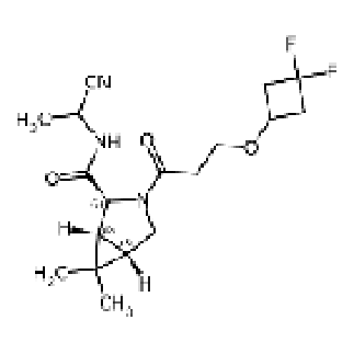 CC(C#N)NC(=O)[C@@H]1[C@@H]2[C@H](CN1C(=O)CCOC1CC(F)(F)C1)C2(C)C